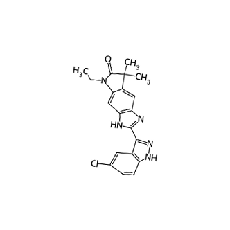 CCN1C(=O)C(C)(C)c2cc3nc(-c4n[nH]c5ccc(Cl)cc45)[nH]c3cc21